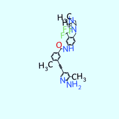 Cc1ccc(C(=O)Nc2ccc(CN3C[C@@H]4CC3CN4C)c(C(F)(F)F)c2)cc1C#Cc1cnc(N)c(C)c1